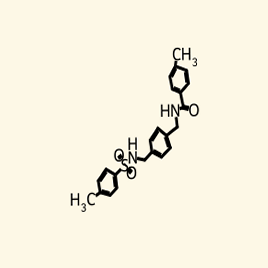 Cc1ccc(C(=O)NCc2ccc(CNS(=O)(=O)c3ccc(C)cc3)cc2)cc1